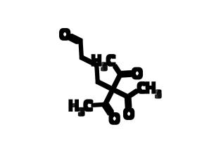 CC(=O)C(CCCC=O)(C(C)=O)C(C)=O